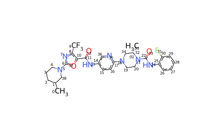 CC1CCCN(c2nc(C(F)(F)F)c(C(=O)Nc3ccc(N4CCN(C(=O)Nc5ccccc5F)[C@@H](C)C4)nc3)o2)C1